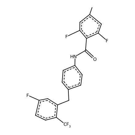 Cc1cc(F)c(C(=O)Nc2ccc(Cc3cc(F)ccc3C(F)(F)F)cc2)c(F)c1